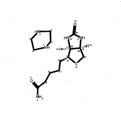 C1CNCCN1.NC(=O)CCCC[C@@H]1SC[C@@H]2NC(=O)N[C@@H]21